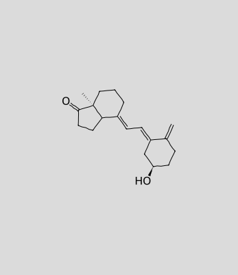 C=C1CC[C@@H](O)CC1=CC=C1CCC[C@]2(C)C(=O)CCC12